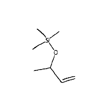 C=CC(C)O[Si](C)(C)C